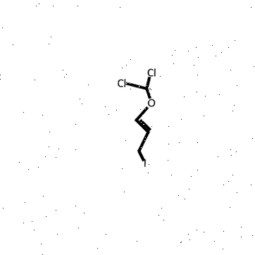 Cl[C](Cl)OC=CCI